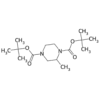 CC1CN(C(=O)OC(C)(C)C)CCN1C(=O)OC(C)(C)C